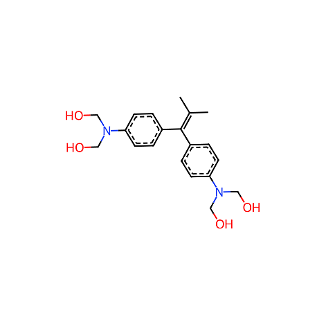 CC(C)=C(c1ccc(N(CO)CO)cc1)c1ccc(N(CO)CO)cc1